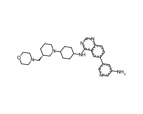 Nc1cncc(-c2ccc3ncnc(NC4CCC(N5CCC[C@H](CN6CCOCC6)C5)CC4)c3c2)c1